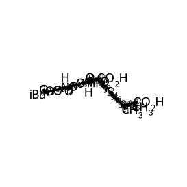 CCC(C)C(=O)COCCOCCNC(=O)COCCOCCNC(=O)CC[C@H](NC(=O)CCCSCCCCCCCC(C)CCCC(C)C(=O)O)C(=O)O